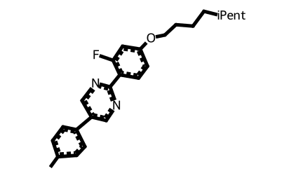 CCCC(C)CCCCOc1ccc(-c2ncc(-c3ccc(C)cc3)cn2)c(F)c1